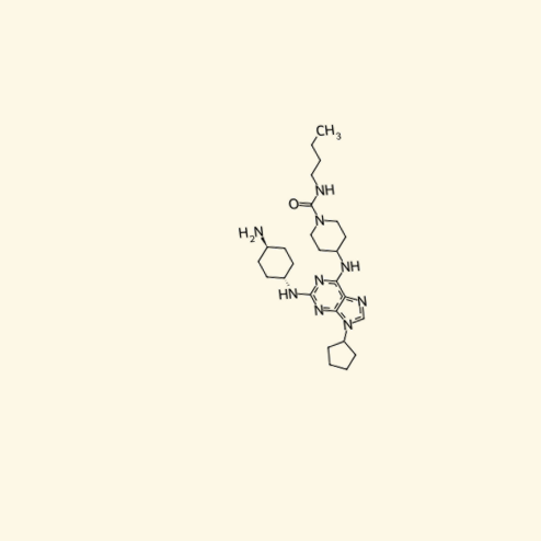 CCCCNC(=O)N1CCC(Nc2nc(N[C@H]3CC[C@H](N)CC3)nc3c2ncn3C2CCCC2)CC1